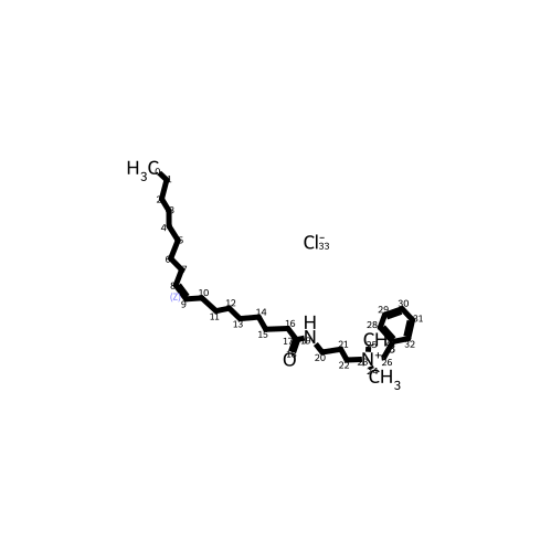 CCCCCCCC/C=C\CCCCCCCC(=O)NCCC[N+](C)(C)Cc1ccccc1.[Cl-]